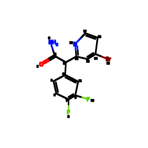 NC(=O)C(c1ccc(F)c(F)c1)c1cc(Br)ccn1